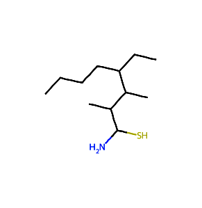 CCCCC(CC)C(C)C(C)C(N)S